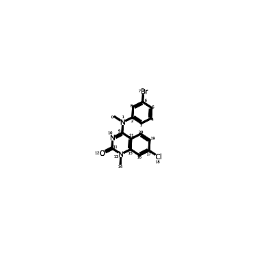 CN(c1cccc(Br)c1)c1nc(=O)n(C)c2cc(Cl)ccc12